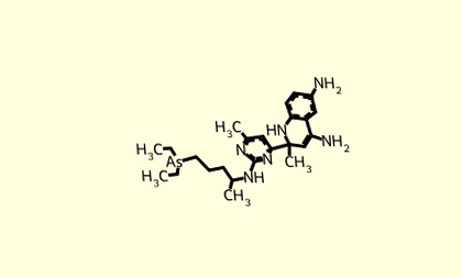 CC[As](CC)CCCC(C)Nc1nc(C)cc(C2(C)C=C(N)c3cc(N)ccc3N2)n1